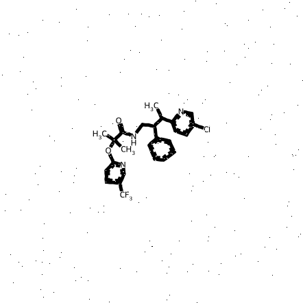 CC(c1ccc(Cl)cn1)C(CNC(=O)C(C)(C)Oc1ccc(C(F)(F)F)cn1)c1ccccc1